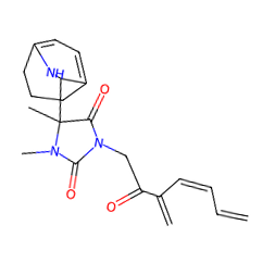 C=C/C=C\C(=C)C(=O)CN1C(=O)N(C)C(C)(C2NC3=CC=C2CCC3)C1=O